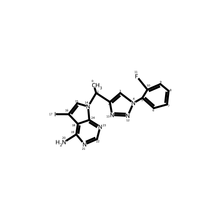 CC(c1cn(-c2ccccc2F)nn1)n1cc(I)c2c(N)ncnc21